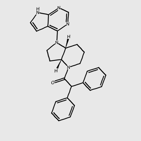 O=C(C(c1ccccc1)c1ccccc1)N1CCC[C@@H]2[C@H]1CCN2c1ncnc2[nH]ccc12